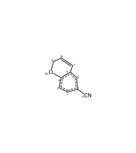 N#Cc1ccc2c(c1)C=CCO2